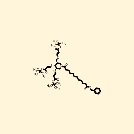 CC(C)(C)OC(=O)/C=C/OC[C@H]1CN(C(=O)CCCCCCCCCCC(=O)OCc2ccccc2)C[C@@H](O/C=C/C(=O)OC(C)(C)C)[C@@H]1O/C=C/C(=O)OC(C)(C)C